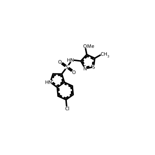 COc1c(NS(=O)(=O)c2c[nH]c3cc(Cl)ccc23)nsc1C